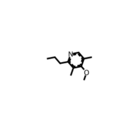 CCCc1ncc(C)c(OC)c1C